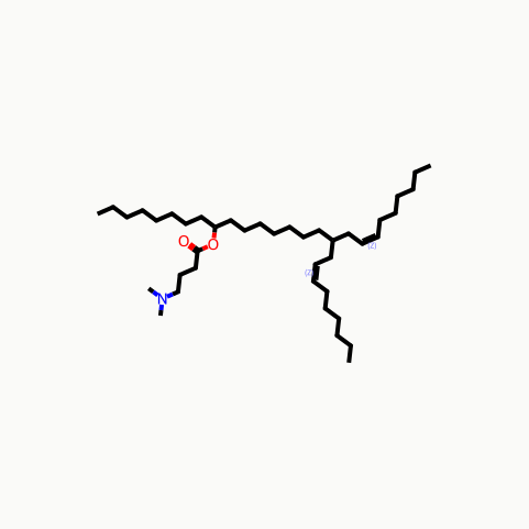 CCCCCC/C=C\CC(C/C=C\CCCCCC)CCCCCCCC(CCCCCCCC)OC(=O)CCCN(C)C